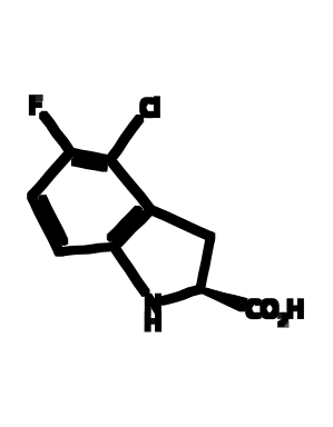 O=C(O)[C@@H]1Cc2c(ccc(F)c2Cl)N1